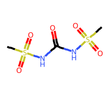 CS(=O)(=O)NC(=O)NS(C)(=O)=O